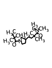 CCC(C)(C)C(=O)N1CCC(CCC(C)(C)C(=O)N(C)C)C1